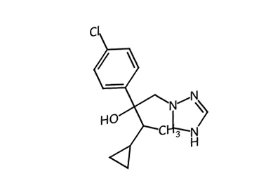 CC(C1CC1)C(O)(CN1CNC=N1)c1ccc(Cl)cc1